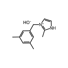 Cc1cc(C)cc(C[n+]2cc[nH]c2C)c1.[OH-]